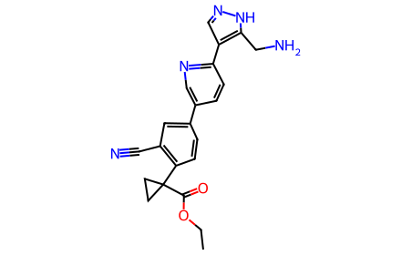 CCOC(=O)C1(c2ccc(-c3ccc(-c4cn[nH]c4CN)nc3)cc2C#N)CC1